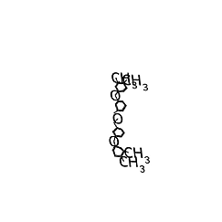 Cc1ccc(Oc2cccc(COCc3cccc(Oc4ccc(C)c(C)c4)c3)c2)cc1C